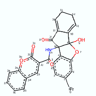 CC(C)c1ccc2c(c1)OC1(O)C3=CCCC=C3C(=O)C21NC(=O)c1cc2ccccc2oc1=O